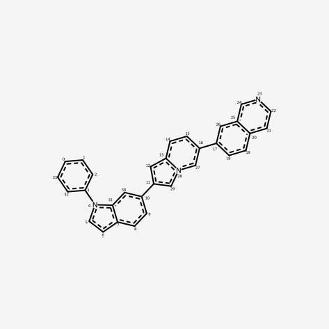 c1ccc(-n2ccc3ccc(-c4cc5ccc(-c6ccc7ccncc7c6)cn5c4)cc32)cc1